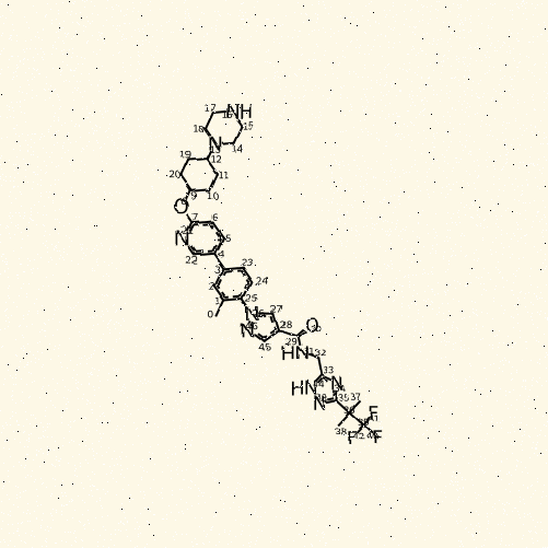 Cc1cc(-c2ccc(OC3CCC(N4CCNCC4)CC3)nc2)ccc1-n1cc(C(=O)NCc2nc(C(C)(C)C(F)(F)F)n[nH]2)cn1